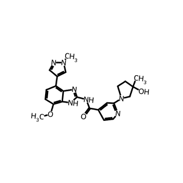 COc1ccc(-c2cnn(C)c2)c2nc(NC(=O)c3ccnc(N4CCC(C)(O)C4)c3)[nH]c12